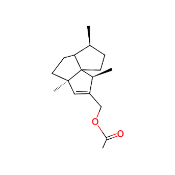 CC(=O)OCC1=C[C@@]2(C)CCC3[C@@H](C)CCC32[C@H]1C